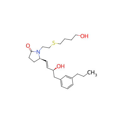 CCCc1cccc(C[C@H](O)/C=C/[C@H]2CCC(=O)N2CCSCCCCO)c1